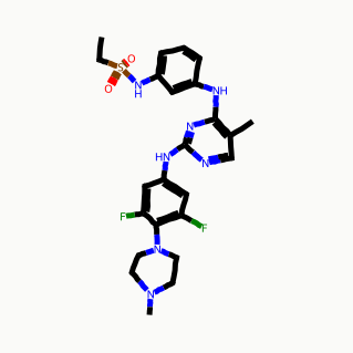 CCS(=O)(=O)Nc1cccc(Nc2nc(Nc3cc(F)c(N4CCN(C)CC4)c(F)c3)ncc2C)c1